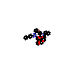 C1=Cc2cc3c(cc2CC1)c1c2ccccc2ccc1n3-c1cc2oc3cccc(-c4nc(-c5ccc(-c6ccccc6)cc5)nc(-c5ccc6sc7ccccc7c6c5)n4)c3c2cc1-c1ccc(-c2ccccc2)cc1